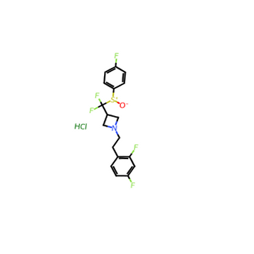 Cl.[O-][S+](c1ccc(F)cc1)C(F)(F)C1CN(CCc2ccc(F)cc2F)C1